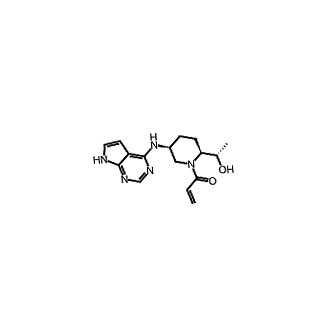 C=CC(=O)N1C[C@@H](Nc2ncnc3[nH]ccc23)CC[C@H]1[C@H](C)O